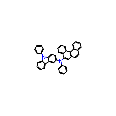 c1ccc(N(c2ccc3c(c2)c2ccccc2n3-c2ccccc2)c2cc3ccc4ccccc4c3c3ccccc23)cc1